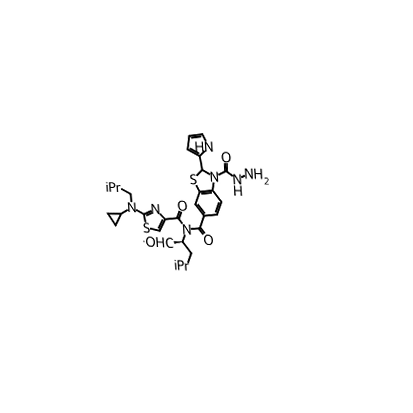 CC(C)C[C@@H]([C]=O)N(C(=O)c1ccc2c(c1)SC(c1ccc[nH]1)N2C(=O)NN)C(=O)c1csc(N(CC(C)C)C2CC2)n1